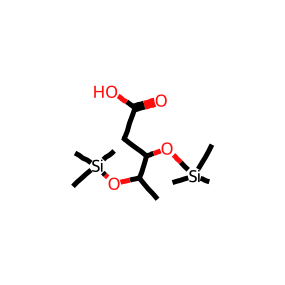 CC(O[Si](C)(C)C)C(CC(=O)O)O[Si](C)(C)C